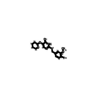 O=c1[nH]c(SCc2ccc(F)c(OC(F)(F)F)c2)ncc1OC1CCCCO1